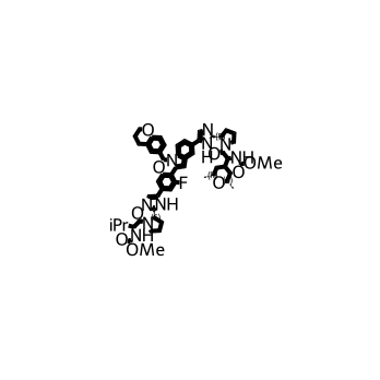 COC(=O)NC(C(=O)N1CCC[C@H]1c1ncc(-c2cc(F)c3c(c2)OC(c2ccc4c(c2)CCCO4)n2c-3cc3cc(-c4cnc([C@@H]5CCCN5C(=O)C(NC(=O)OC)C5C[C@@H](C)O[C@@H](C)C5)[nH]4)ccc32)[nH]1)C(C)C